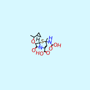 CC(OC1C(=O)N2C(C(=O)O)=CC(C)(NC(=O)O)S[C@H]12)C1CC1